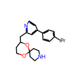 CC(C)c1ccc(-c2ccnc(CC3CCOC4(CCNCC4)O3)c2)cc1